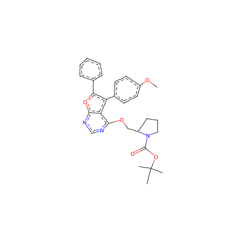 COc1ccc(-c2c(-c3ccccc3)oc3ncnc(OCC4CCCN4C(=O)OC(C)(C)C)c23)cc1